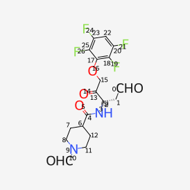 O=CC[C@H](NC(=O)C1CCN(C=O)CC1)C(=O)COc1c(F)c(F)cc(F)c1F